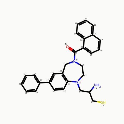 NC(CS)CN1CCN(C(=O)c2cccc3ccccc23)Cc2cc(-c3ccccc3)ccc21